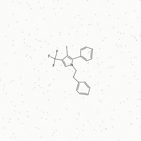 FC(F)(F)c1cn(CCc2ccccc2)c(-c2ccccc2)c1I